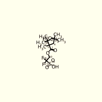 CC(C)(C)CC(C)(C(=O)OCC(F)(F)S(=O)(=O)O)C(C)(C)C